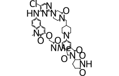 CNC(=O)COc1cc2cc(Nc3nc(N4CCN(CC5CCN(c6ccc7c(c6)C(=O)N(C6CCC(=O)NC6=O)C7=O)CC5)C(=O)C4)ncc3Cl)ccc2n(C)c1=O